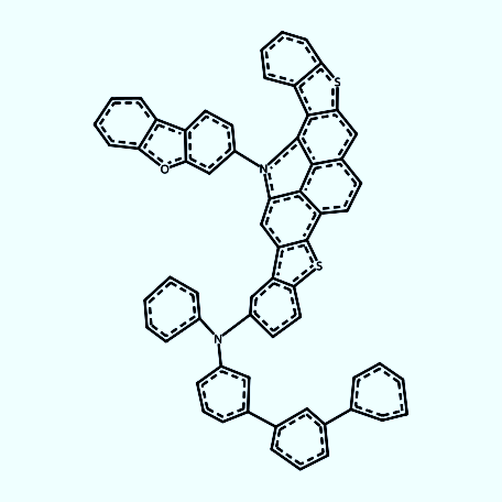 c1ccc(-c2cccc(-c3cccc(N(c4ccccc4)c4ccc5sc6c(cc7c8c6ccc6cc9sc%10ccccc%10c9c(c68)n7-c6ccc7c(c6)oc6ccccc67)c5c4)c3)c2)cc1